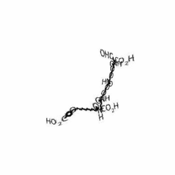 O=CCC[C@H](NC(=O)COCCOCCNC(=O)COCCOCCNC(=O)CC[C@H](NC(=O)CCCCCCCCCOc1ccc(C(=O)O)cc1)C(=O)O)C(=O)O